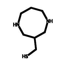 SCC1CNCCCNC1